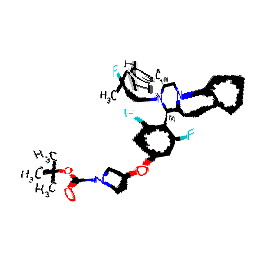 C[C@@H]1Cn2c(cc3ccccc32)[C@@H](c2c(F)cc(OC3CN(C(=O)OC(C)(C)C)C3)cc2F)N1CC(C)(C)F